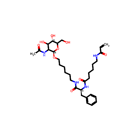 C=CC(=O)NCCCCCC(=O)N[C@@H](Cc1ccccc1)C(=O)NCCCCCCO[C@@H]1OC(CO)[C@@H](O)C(O)C1NC(C)=O